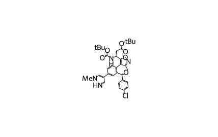 CN/C=C(\C=N)c1ccc(-c2c(C)noc2[C@H](CC(=O)OC(C)(C)C)NC(=O)OC(C)(C)C)c(C(=O)c2ccc(Cl)cc2)c1